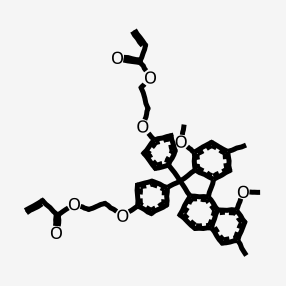 C=CC(=O)OCCOc1ccc(C2(c3ccc(OCCOC(=O)C=C)cc3)c3ccc4cc(C)cc(OC)c4c3-c3cc(C)cc(OC)c32)cc1